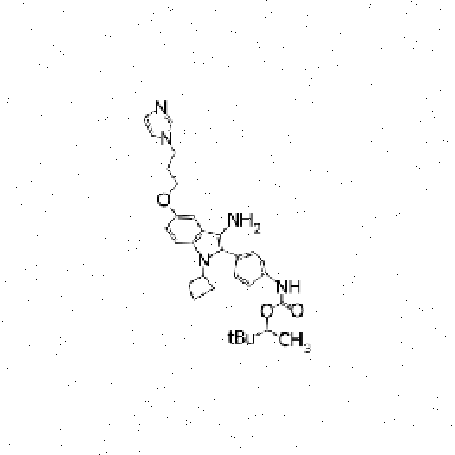 CC(OC(=O)Nc1ccc(-c2c(N)c3cc(OCCCn4ccnc4)ccc3n2C2CCC2)cc1)C(C)(C)C